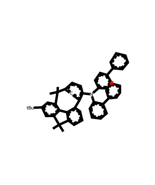 CC(C)(C)c1cc2c3c(c1)C(C)(C)c1cccc(c1-3)-c1cc(ccc1N(c1ccc(-c3ccccc3)cc1)c1ccccc1-c1ccccc1)C2(C)C